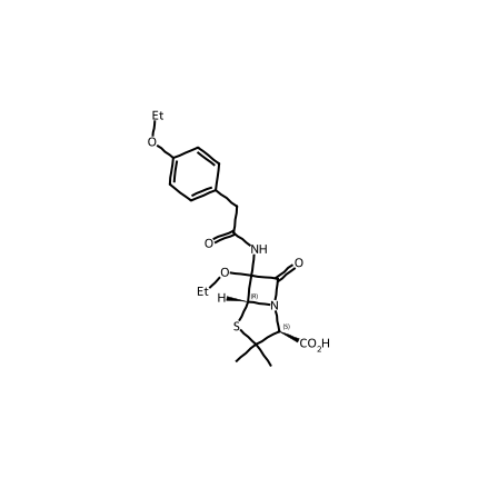 CCOc1ccc(CC(=O)NC2(OCC)C(=O)N3[C@@H](C(=O)O)C(C)(C)S[C@@H]32)cc1